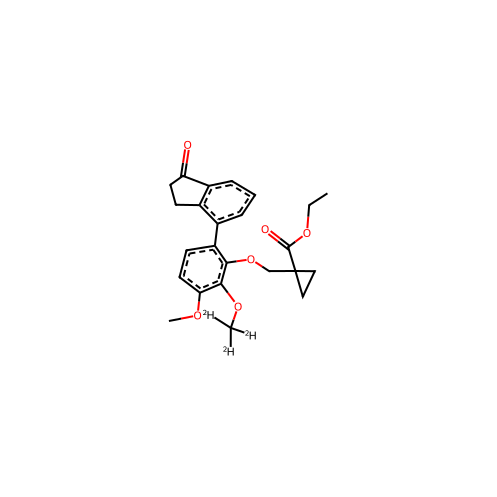 [2H]C([2H])([2H])Oc1c(OC)ccc(-c2cccc3c2CCC3=O)c1OCC1(C(=O)OCC)CC1